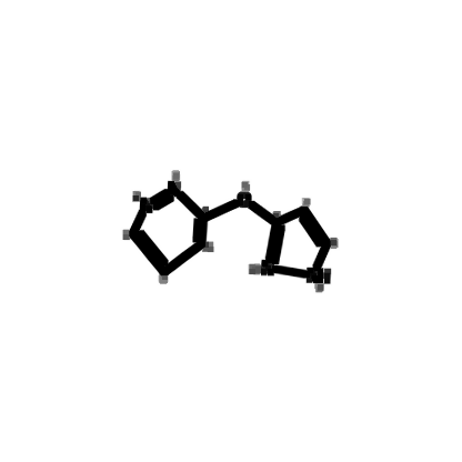 c1cnnc(Oc2cc[nH]n2)c1